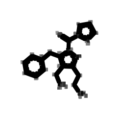 CCCc1nn(C(=O)n2cccn2)c(Cc2ccccc2)c1CC